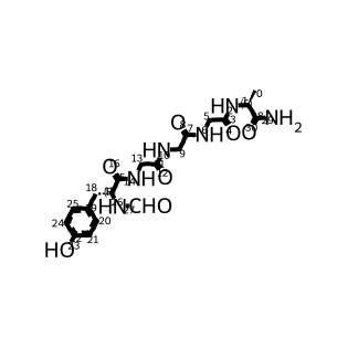 C[C@H](NC(=O)CNC(=O)CNC(=O)CNC(=O)[C@@H](Cc1ccc(O)cc1)NC=O)C(N)=O